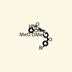 COc1ccc(NC(=O)OCCCN2CCC(C(=O)c3ccc(Br)cc3)CC2)c(OC)c1OC